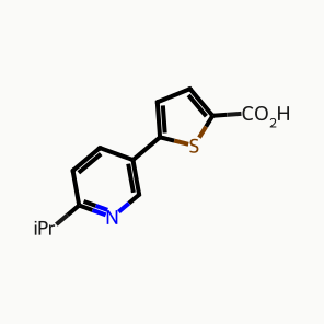 CC(C)c1ccc(-c2ccc(C(=O)O)s2)cn1